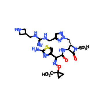 N=C(NCc1cnn(C[C@H]2C(NC(=O)/C(=N\OC3(C(=O)O)CC3)c3csc(N)n3)C(=O)N2S(=O)(=O)O)n1)NCC1CNC1